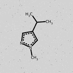 C[C](C)c1cnn(C)c1